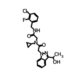 CC(O)c1nn(CC(=O)N(CC(=O)NCc2cccc(Cl)c2F)C2CC2)c2ccccc12